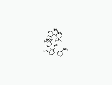 CN(C)[C@H]1C(N)=C(C(N)=O)C(=O)[C@@]2(O)C(O)=C3C(=O)c4c(O)ccc(-c5cccc(N)c5)c4C[C@H]3C[C@@H]12